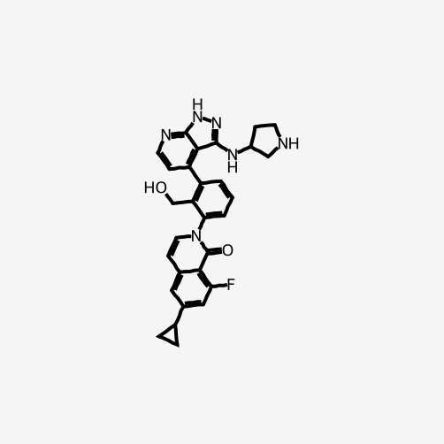 O=c1c2c(F)cc(C3CC3)cc2ccn1-c1cccc(-c2ccnc3[nH]nc(NC4CCNC4)c23)c1CO